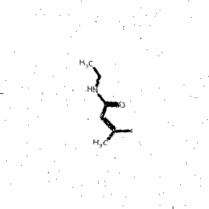 CCNC(=O)C=C(C)I